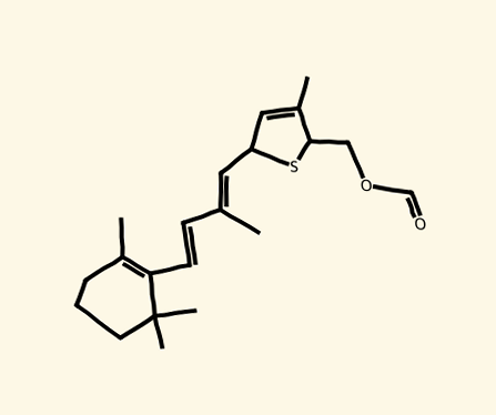 CC1=CC(/C=C(C)/C=C/C2=C(C)CCCC2(C)C)SC1COC=O